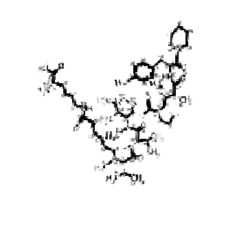 CC[C@H](C)[C@@H]([C@@H](CC(=O)N1CCC[C@H]1[C@H](OC)[C@@H](C)C(=O)N[C@@H](Cc1ccc(O)cc1)C(=O)N1CCCCO1)OC)N(C)C(=O)[C@@H](NC(=O)[C@H](C(C)C)N(C)CCCCCC(=O)NCCCC[C@H](N)C(=O)O)C(C)C